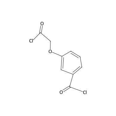 O=C(Cl)COc1cccc(C(=O)Cl)c1